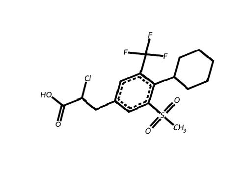 CS(=O)(=O)c1cc(CC(Cl)C(=O)O)cc(C(F)(F)F)c1C1CCCCC1